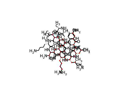 CC(C)C[C@H](NC(=O)[C@H](C)N)C(=O)N[C@@H](Cc1ccc(O)cc1)C(=O)N[C@@H](CCCCN)C(=O)N[C@@H](CCCCN)C(=O)N[C@@H](CC(C)C)C(=O)N[C@@H](CC(C)C)C(=O)N[C@@H](CCCCN)C(=O)N[C@@H](CCCCN)C(=O)N[C@@H](CC(C)C)C(=O)N[C@@H](CC(C)C)C(=O)N[C@@H](CCCCN)C(=O)N[C@@H](CO)C(=O)N[C@@H](C)C(=O)N[C@@H](CCCCN)C(=O)N[C@@H](CCCCN)C(=O)N[C@@H](CC(C)C)C(=O)NCC(=O)O